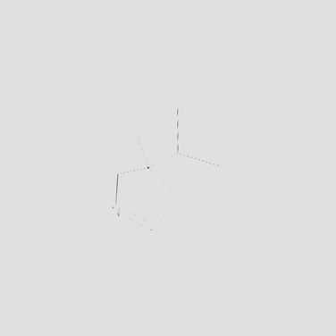 CC(C)C1(C)CN=CO1